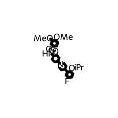 COc1ccc(S(=O)(=O)NC2CCC(N3CCC(c4cc(F)ccc4OC(C)C)CC3)CC2)cc1OC